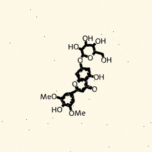 COc1cc(-c2cc(=O)c3c(O)cc(OC4OC(CO)C(O)C(O)C4O)cc3o2)cc(OC)c1O